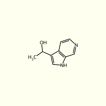 CC(O)c1c[nH]c2cnccc12